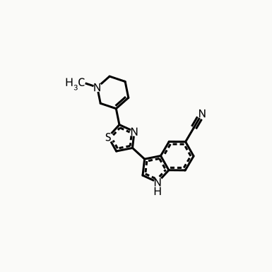 CN1CCC=C(c2nc(-c3c[nH]c4ccc(C#N)cc34)cs2)C1